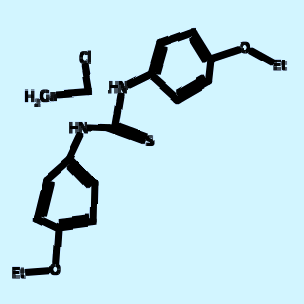 CCOc1ccc(NC(=S)Nc2ccc(OCC)cc2)cc1.Cl[CH2][GaH2]